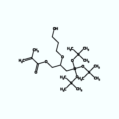 C=C(C)C(=O)OCC(C[Si](O[Si](C)(C)C)(O[Si](C)(C)C)O[Si](C)(C)C)OCCCO